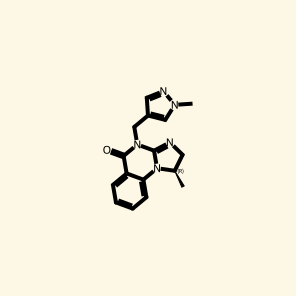 C[C@@H]1CN=C2N(Cc3cnn(C)c3)C(=O)c3ccccc3N21